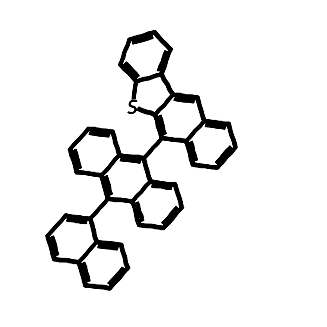 c1ccc2c(-c3c4ccccc4c(-c4c5ccccc5cc5c4sc4ccccc45)c4ccccc34)cccc2c1